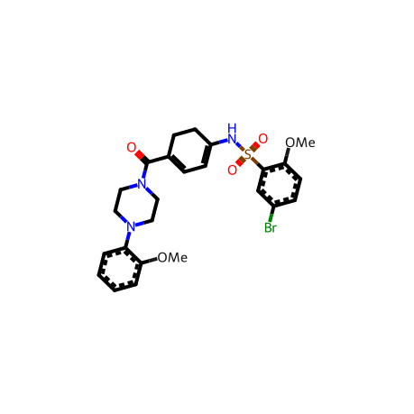 COc1ccccc1N1CCN(C(=O)C2=CC=C(NS(=O)(=O)c3cc(Br)ccc3OC)CC2)CC1